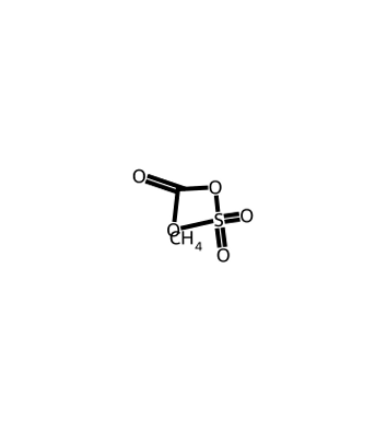 C.O=C1OS(=O)(=O)O1